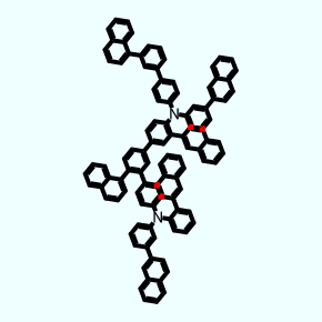 c1cc(-c2ccc(N(c3cccc(-c4ccc5ccccc5c4)c3)c3ccc(-c4ccc(-c5cccc6ccccc56)c(-c5ccc(N(c6cccc(-c7ccc8ccccc8c7)c6)c6ccccc6-c6ccc7ccccc7c6)cc5)c4)cc3-c3ccc4ccccc4c3)cc2)cc(-c2cccc3ccccc23)c1